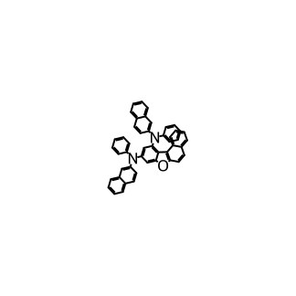 c1ccc(N(c2ccc3ccccc3c2)c2cc(N(c3ccccc3)c3ccc4ccccc4c3)c3c(c2)oc2ccc4ccccc4c23)cc1